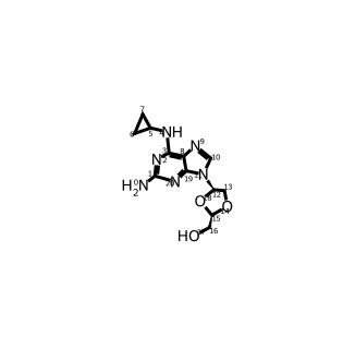 Nc1nc(NC2CC2)c2ncn([C@H]3CO[C@@H](CO)O3)c2n1